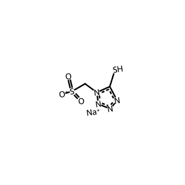 O=S(=O)([O-])Cn1nnnc1S.[Na+]